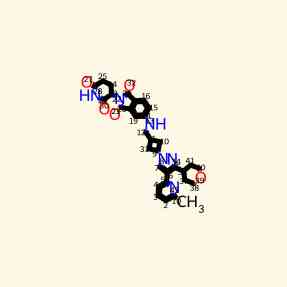 Cc1cccc(-c2cn(C3CC(CNc4ccc5c(c4)C(=O)N(C4CCC(=O)NC4=O)C5=O)C3)nc2C2CCOCC2)n1